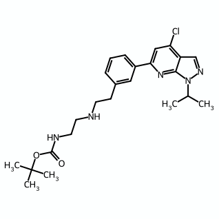 CC(C)n1ncc2c(Cl)cc(-c3cccc(CCNCCNC(=O)OC(C)(C)C)c3)nc21